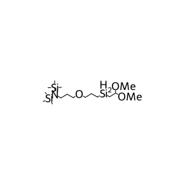 COC(C[SiH2]CCCOCCCN([Si](C)(C)C)[Si](C)(C)C)OC